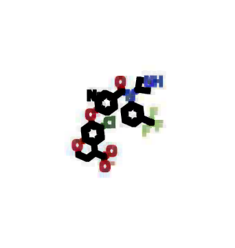 O=C([O-])C1CCOc2cc(Oc3ccc(C(=O)N(c4cccc(C(F)(F)F)c4)C4CNC4)cc3)c(Cl)cc21.[Na+]